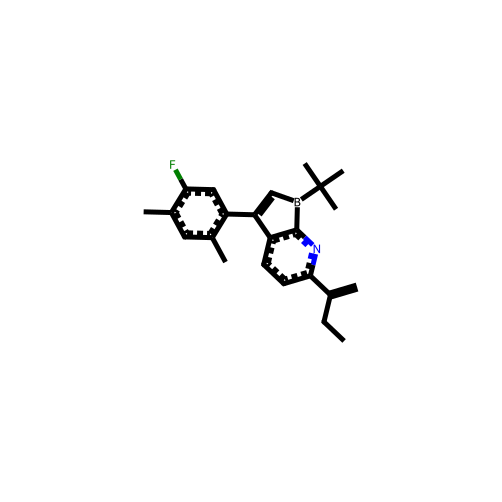 C=C(CC)c1ccc2c(n1)B(C(C)(C)C)C=C2c1cc(F)c(C)cc1C